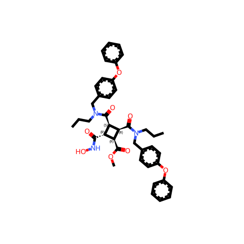 CCCN(Cc1ccc(Oc2ccccc2)cc1)C(=O)[C@@H]1[C@@H](C(=O)NO)[C@H](C(=O)OC)[C@@H]1C(=O)N(CCC)Cc1ccc(Oc2ccccc2)cc1